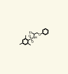 CCC(COc1ccccc1)NS(=O)(=O)c1c(C)cc(C)cc1C